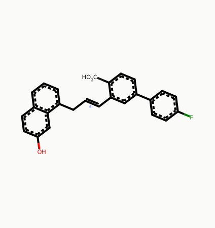 O=C(O)c1ccc(-c2ccc(F)cc2)cc1/C=C/Cc1cccc2ccc(O)cc12